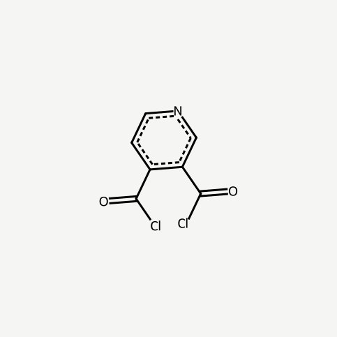 O=C(Cl)c1ccncc1C(=O)Cl